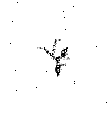 C/C=C1\CC2C=Nc3cc(OCc4cc(OCCN(CCOCCOCCOC)CCOCCOCCOCCC=O)cc(COc5cc6c(cc5OC)C(=O)N5C/C(=C/C)C[C@H]5C=N6)n4)c(OC)cc3C(=O)N2C1